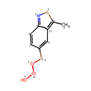 Cc1snc2ccc(SOOO)cc12